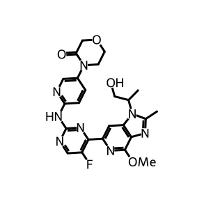 COc1nc(-c2nc(Nc3ccc(N4CCOCC4=O)cn3)ncc2F)cc2c1nc(C)n2C(C)CO